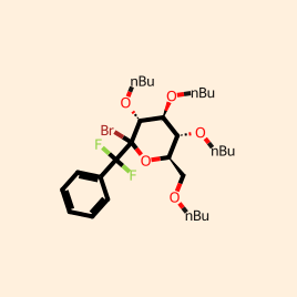 CCCCOC[C@H]1OC(Br)(C(F)(F)c2ccccc2)[C@H](OCCCC)[C@@H](OCCCC)[C@@H]1OCCCC